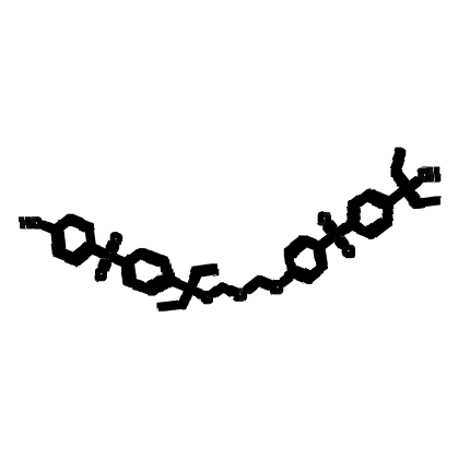 CCC(O)(CC)c1ccc(S(=O)(=O)c2ccc(OCOCOC(CC)(CC)c3ccc(S(=O)(=O)c4ccc(O)cc4)cc3)cc2)cc1